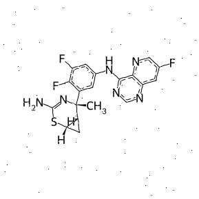 C[C@]1(c2cc(Nc3ncnc4cc(F)cnc34)cc(F)c2F)N=C(N)S[C@H]2C[C@H]21